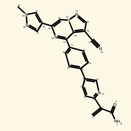 C=C(C(N)=O)c1ccc(-c2ccc(-c3nc(-c4cnn(C)c4)cn4ncc(C#N)c34)cc2)cn1